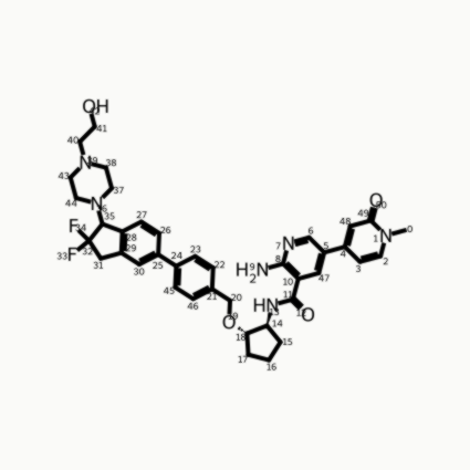 Cn1ccc(-c2cnc(N)c(C(=O)N[C@H]3CCC[C@@H]3OCc3ccc(-c4ccc5c(c4)CC(F)(F)C5N4CCN(CCO)CC4)cc3)c2)cc1=O